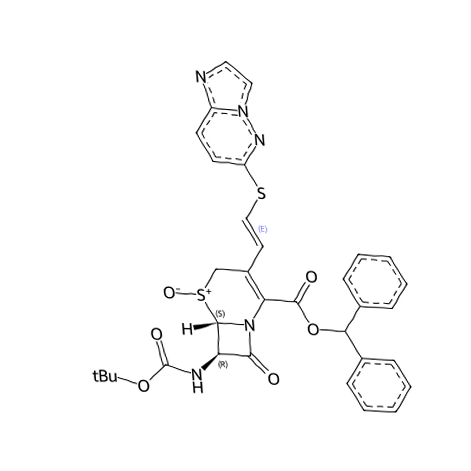 CC(C)(C)OC(=O)N[C@@H]1C(=O)N2C(C(=O)OC(c3ccccc3)c3ccccc3)=C(/C=C/Sc3ccc4nccn4n3)C[S+]([O-])[C@@H]12